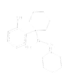 C1COCCN1.Cc1ccccc1C1(N(C)C)CCCCC1